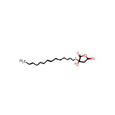 CCCCCCCCCCCCCCSC1(O)CC(=O)OC1=O